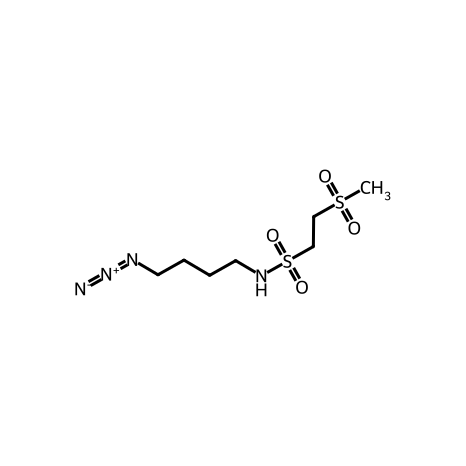 CS(=O)(=O)CCS(=O)(=O)NCCCCN=[N+]=[N-]